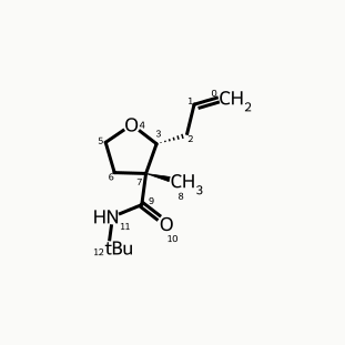 C=CC[C@H]1OCC[C@@]1(C)C(=O)NC(C)(C)C